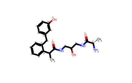 CC(C(=O)NCC(O)CNC(=O)[C@H](C)N)c1ccccc1Cc1cccc(O)c1